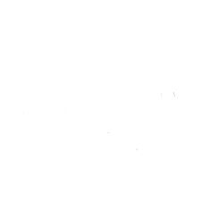 CCCC(C)C1CC(=O)OC1=O